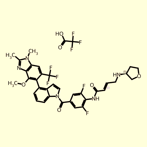 COc1c(-c2cccc3c2ccn3C(=O)c2cc(F)c(NC(=O)/C=C/CN[C@H]3CCOC3)c(F)c2)c(C(F)(F)F)cc2c1nc(C)n2C.O=C(O)C(F)(F)F